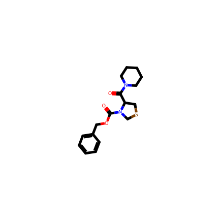 O=C(C1CSCN1C(=O)OCc1ccccc1)N1CCCCC1